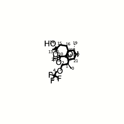 C[C@H]1C(OCC(F)(F)F)O[C@@H]2OC(C)(O)CCC3[C@H](C)CCC1[C@]32O